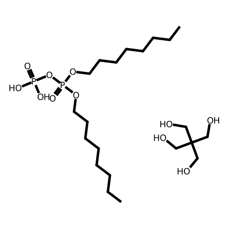 CCCCCCCCOP(=O)(OCCCCCCCC)OP(=O)(O)O.OCC(CO)(CO)CO